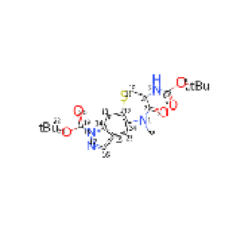 CN1C(=O)[C@@H](NC(=O)OC(C)(C)C)CSc2cc3c(cnn3C(=O)OC(C)(C)C)cc21